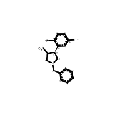 O=[N+]([O-])C1CN(Cc2ccccc2)C[C@@H]1c1cc(F)ccc1F